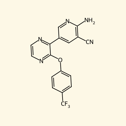 N#Cc1cc(-c2nccnc2Oc2ccc(C(F)(F)F)cc2)cnc1N